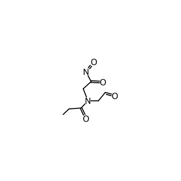 CCC(=O)N(CC=O)CC(=O)N=O